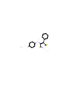 COc1ccc(NC2=C(c3ccccc3)C(=S)N(C)C2=S)cc1